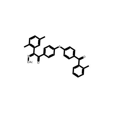 CC(=O)O/N=C(\C(=O)c1ccc(Sc2ccc(C(=O)c3ccccc3C)cc2)cc1)c1cc(C)ccc1C